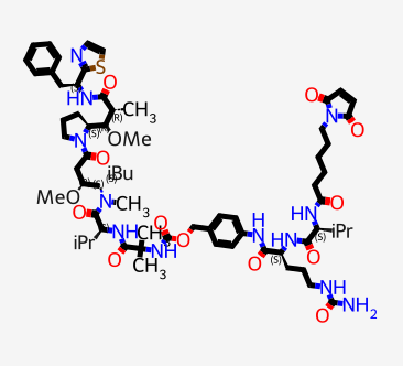 CC[C@H](C)[C@@H]([C@@H](CC(=O)N1CCC[C@H]1[C@H](OC)[C@@H](C)C(=O)N[C@@H](Cc1ccccc1)c1nccs1)OC)N(C)C(=O)[C@@H](NC(=O)C(C)(C)NC(=O)OCc1ccc(NC(=O)[C@H](CCCNC(N)=O)NC(=O)[C@@H](NC(=O)CCCCCN2C(=O)C=CC2=O)C(C)C)cc1)C(C)C